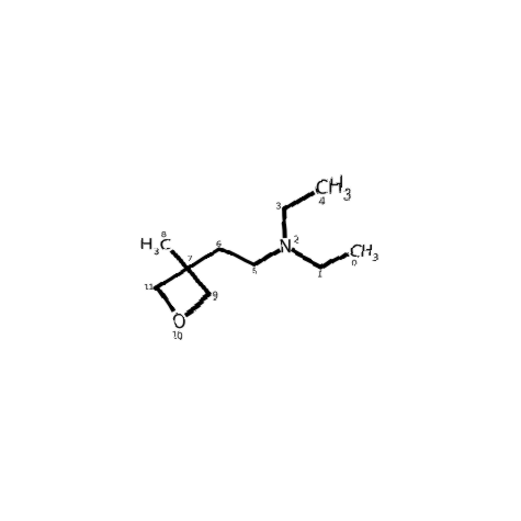 CCN(CC)CCC1(C)COC1